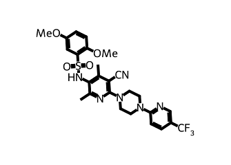 COc1ccc(OC)c(S(=O)(=O)Nc2c(C)nc(N3CCN(c4ccc(C(F)(F)F)cn4)CC3)c(C#N)c2C)c1